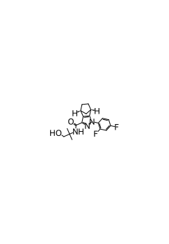 CC(C)(CO)NC(=O)c1nn(-c2ccc(F)cc2F)c2c1[C@@H]1CC[C@H]2C1